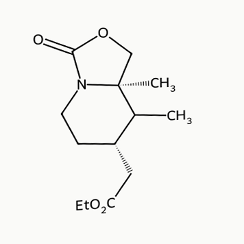 CCOC(=O)C[C@@H]1CCN2C(=O)OC[C@@]2(C)C1C